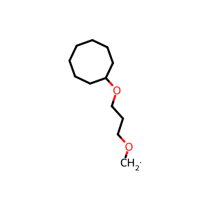 [CH2]OCCCOC1CCCCCCC1